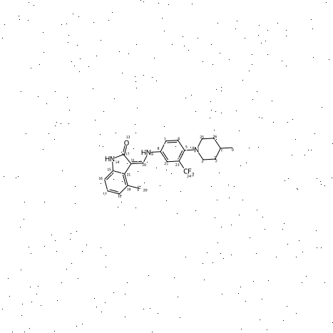 CC1CCN(c2ccc(NC=C3C(=O)Nc4cccc(F)c43)cc2C(F)(F)F)CC1